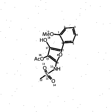 COc1ccccc1-c1oc(NS(C)(=O)=O)c(OC(C)=O)c1O